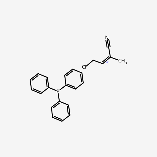 C/C(C#N)=C/CCl.c1ccc(P(c2ccccc2)c2ccccc2)cc1